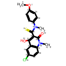 COc1ccc(N(C)C(=S)c2c(O)c3cc(Cl)ccc3n(C)c2=O)cc1